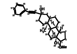 COC1CC[C@H]2[C@@H]3CCC4CC(O)(C#Cc5ccncc5)CC[C@]4(C)[C@@H]3CC[C@]12C